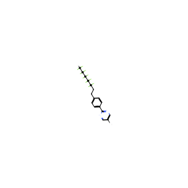 CCCc1cnc(-c2ccc(CCC(F)(F)C(F)(F)C(F)(F)C(F)(F)C(F)(F)C(F)(F)F)cc2)nc1